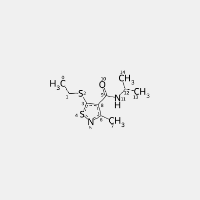 CCSc1snc(C)c1C(=O)NC(C)C